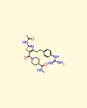 CNC(=O)C1CCN(C(=O)c2sc(NC(C)=O)nc2CCc2ccc(NC(=N)N)cc2)CC1